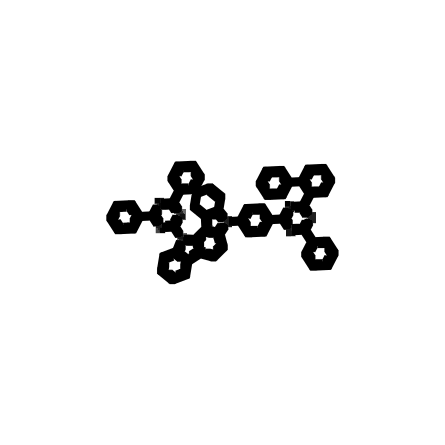 C1=Cc2c(c3c(ccc4c5ccccc5n(-c5nc(-c6ccccc6)nc(-c6ccccc6)n5)c43)n2-c2ccc(-c3nc(-c4ccccc4)nc(-c4ccccc4-c4ccccc4)n3)cc2)CC1